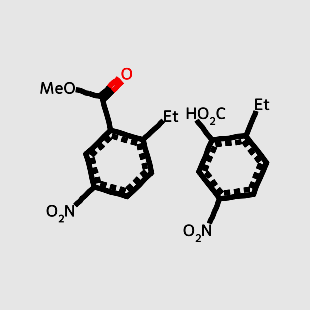 CCc1ccc([N+](=O)[O-])cc1C(=O)O.CCc1ccc([N+](=O)[O-])cc1C(=O)OC